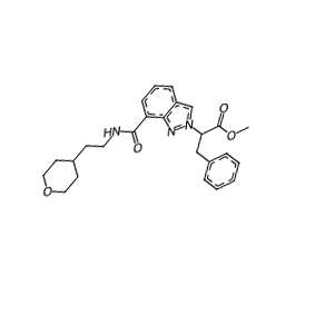 COC(=O)C(Cc1ccccc1)n1cc2cccc(C(=O)NCCC3CCOCC3)c2n1